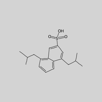 CC(C)Cc1cc(S(=O)(=O)O)cc2c(CC(C)C)cccc12